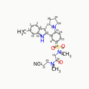 Cc1ccc2cc(-c3cc(S(=O)(=O)N(C)CC(=O)N(C)CCC#N)ccc3N3CCCC3)[nH]c2c1